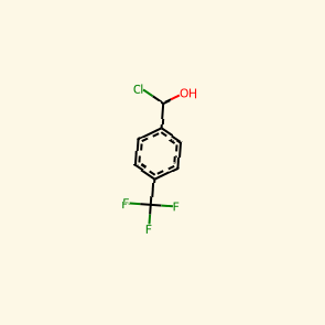 OC(Cl)c1ccc(C(F)(F)F)cc1